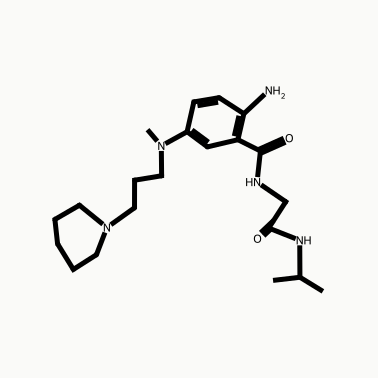 CC(C)NC(=O)CNC(=O)c1cc(N(C)CCCN2CCCCC2)ccc1N